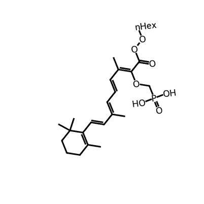 CCCCCCOOC(=O)C(OCP(=O)(O)O)=C(C)C=CC=C(C)C=CC1=C(C)CCCC1(C)C